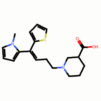 Cn1cccc1C(=CCCN1CCCC(C(=O)O)C1)c1cccs1